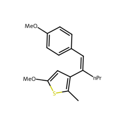 CCCC(=Cc1ccc(OC)cc1)c1cc(OC)sc1C